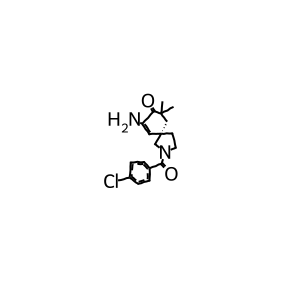 CC1(C)C[C@]2(C=C(N)C1=O)CCN(C(=O)c1ccc(Cl)cc1)C2